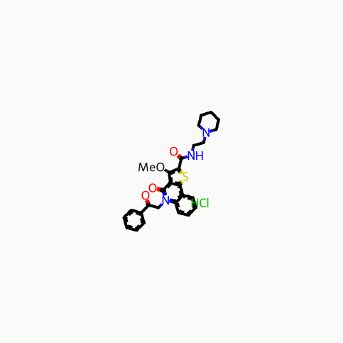 COc1c(C(=O)NCCN2CCCCC2)sc2c1c(=O)n(CC(=O)c1ccccc1)c1ccccc21.Cl